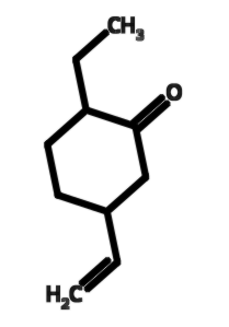 C=CC1CCC(CC)C(=O)C1